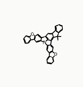 CC1(C)c2ccccc2-c2cc3c4cc5oc6ccccc6c5cc4n4c5cc6c(cc5c(c21)c34)oc1ccccc16